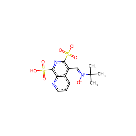 CC(C)(C)[N+]([O-])=Cc1c(S(=O)(=O)O)nc(S(=O)(=O)O)c2ncccc12